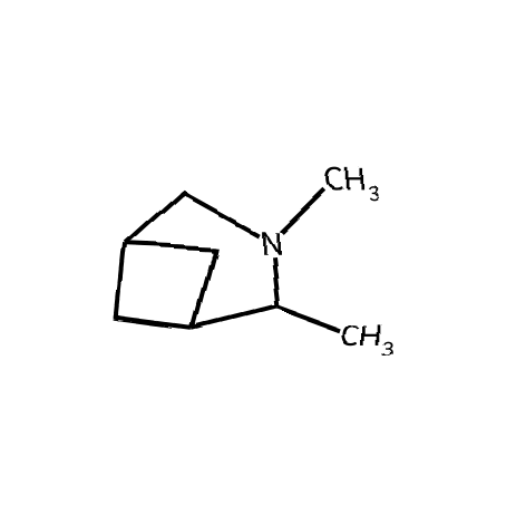 CC1C2CC(C2)CN1C